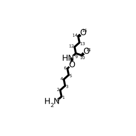 NCCCCCCONC(C=O)CCC=O